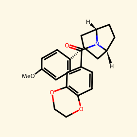 COc1ccc([C@H]2C[C@H]3CC[C@@H](C2)N3C(=O)c2ccc3c(c2)OCCO3)cc1